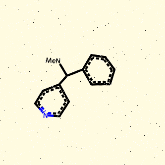 CNC(c1ccccc1)c1ccncc1